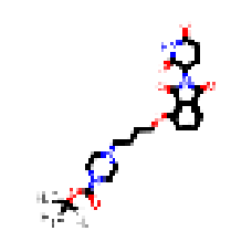 CC(C)(C)OC(=O)N1CCN(CCCCOc2cccc3c2C(=O)N(C2CCC(=O)NC2=O)C3=O)CC1